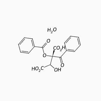 O.O=C(O[C@](C(=O)O)(C(=O)c1ccccc1)C(O)C(=O)O)c1ccccc1